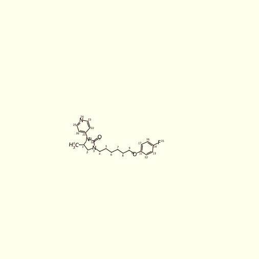 CC1CN(CCCCCCOc2ccc(F)cc2)C(=O)N1c1ccncc1